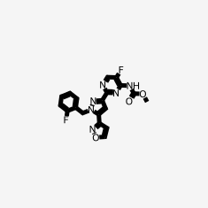 COC(=O)Nc1nc(-c2cc(-c3ccon3)n(Cc3ccccc3F)n2)ncc1F